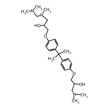 CN(C)CC(O)COc1ccc(C(C)(C)c2ccc(OCC(O)CN(C)CN(C)C)cc2)cc1